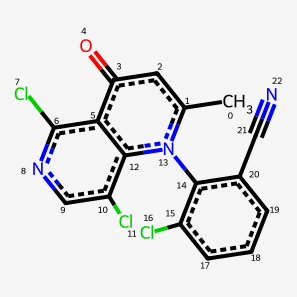 Cc1cc(=O)c2c(Cl)ncc(Cl)c2n1-c1c(Cl)cccc1C#N